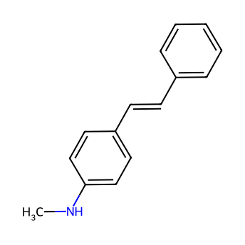 CNc1ccc(C=Cc2ccccc2)cc1